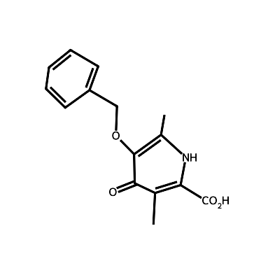 Cc1[nH]c(C(=O)O)c(C)c(=O)c1OCc1ccccc1